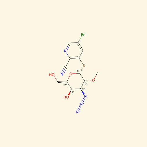 CO[C@@H]1[C@@H](N=[N+]=[N-])[C@@H](O)[C@@H](CO)O[C@@H]1Sc1cc(Br)cnc1C#N